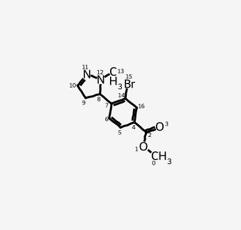 COC(=O)c1ccc(C2CC=NN2C)c(Br)c1